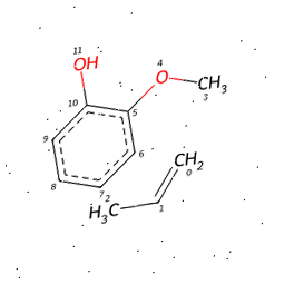 C=CC.COc1ccccc1O